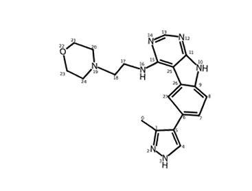 Cc1n[nH]cc1-c1ccc2[nH]c3ncnc(NCCN4CCOCC4)c3c2c1